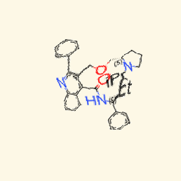 CC[C@H](NC(=O)c1c(COC[C@@H]2CCCN2C(C)C)c(-c2ccccc2)nc2ccccc12)c1ccccc1